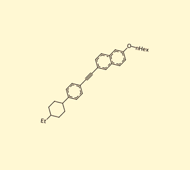 CCCCCCOc1ccc2cc(C#Cc3ccc(C4CCC(CC)CC4)cc3)ccc2c1